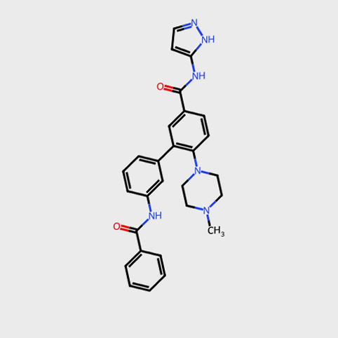 CN1CCN(c2ccc(C(=O)Nc3ccn[nH]3)cc2-c2cccc(NC(=O)c3ccccc3)c2)CC1